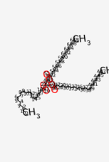 CCCCC/C=C\C/C=C\C/C=C\C/C=C\CCCC(=O)O[C@@H](COC(=O)CCCCCCCCCCC/C=C\CCCCCCCC)COC(=O)CCCCCCCCCCCCCCCCC